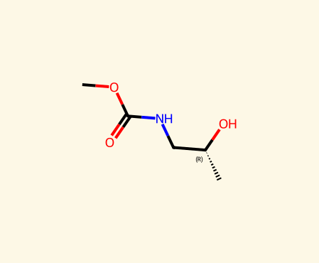 COC(=O)NC[C@@H](C)O